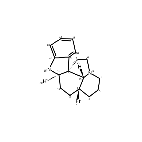 CC[C@@]12CCCN3CC[C@]4(c5[c][c][c]cc5[N][C@@H]4CC1)[C@H]32